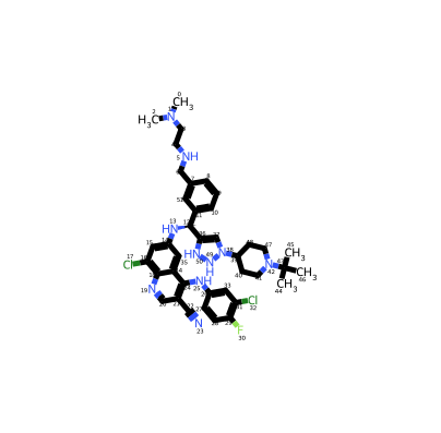 CN(C)CCNCc1cccc([C@H](Nc2cc(Cl)c3ncc(C#N)c(Nc4ccc(F)c(Cl)c4)c3c2)C2=CN(C3CCN(C(C)(C)C)CC3)NN2)c1